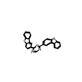 c1ccc2c(c1)sc1ccc(-c3ncnc(-c4ccc5sc6ccccc6c5c4)n3)cc12